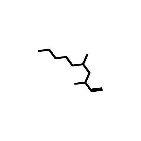 C=CC(C)C[C](C)CCCCC